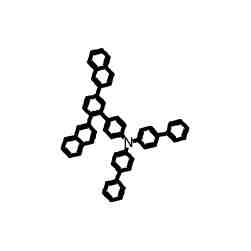 c1ccc(-c2ccc(N(c3ccc(-c4ccccc4)cc3)c3ccc(-c4cc(-c5ccc6ccccc6c5)ccc4-c4ccc5ccccc5c4)cc3)cc2)cc1